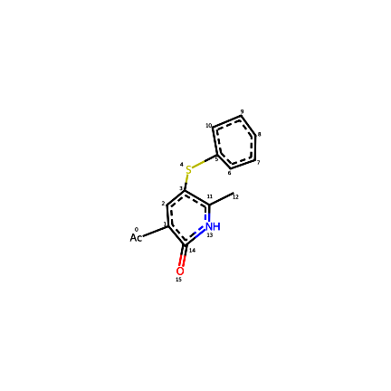 CC(=O)c1cc(Sc2ccccc2)c(C)[nH]c1=O